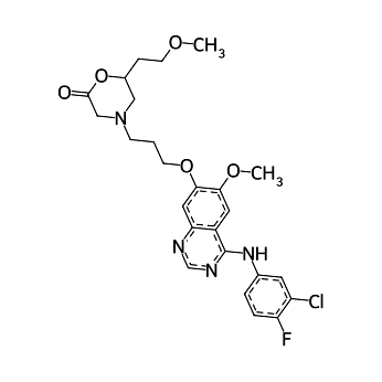 COCCC1CN(CCCOc2cc3ncnc(Nc4ccc(F)c(Cl)c4)c3cc2OC)CC(=O)O1